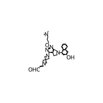 CN(C)CCCOc1nc2c(c(N3CC4(CN(C=CC=O)C4)C3)n1)CCN(c1cc(O)cc3ccccc13)C2